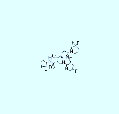 CCC(NC(=O)c1cn(-c2ncc(F)cc2F)c2nc(N3CCCC(F)(F)C3)ccc2c1=O)C(F)(F)F